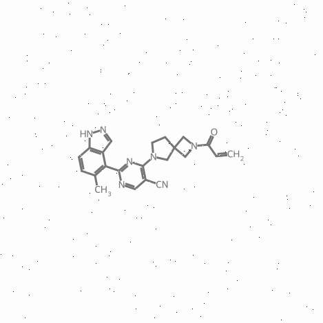 C=CC(=O)N1CC2(CCN(c3nc(-c4c(C)ccc5[nH]ncc45)ncc3C#N)C2)C1